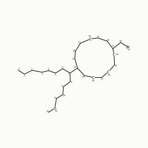 CCCCCCCC(CCCCOC)C1CCCCCCC(CBr)CCCCCC1